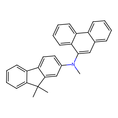 CN(c1ccc2c(c1)C(C)(C)c1ccccc1-2)c1cc2ccccc2c2ccccc12